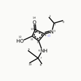 CC(C)/N=c1/c(NC(C)(C)C)c(O)c1=O